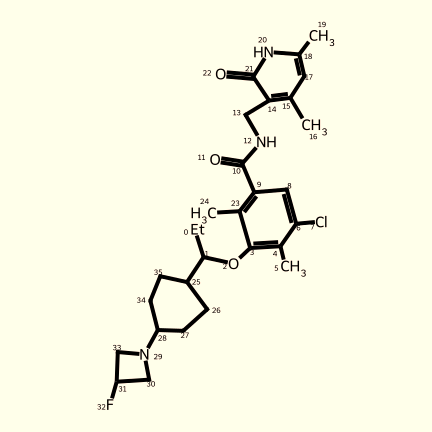 CCC(Oc1c(C)c(Cl)cc(C(=O)NCc2c(C)cc(C)[nH]c2=O)c1C)C1CCC(N2CC(F)C2)CC1